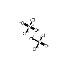 O=P(Cl)(Cl)Cl.O=S(=O)(Cl)Cl